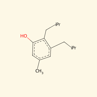 Cc1cc(O)c(CC(C)C)c(CC(C)C)c1